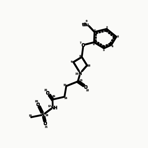 CC(C)(C)c1ccccc1OC1CN(C(=O)CCC(=O)NS(C)(=O)=O)C1